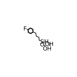 OC(O)O[SiH2]CCCCc1ccc(F)cc1